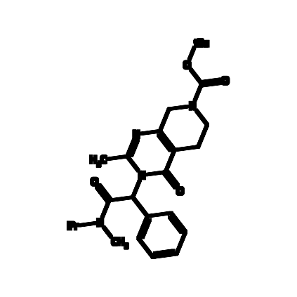 Cc1nc2c(c(=O)n1C(C(=O)N(C)C(C)C)c1ccccc1)CCN(C(=O)OC(C)(C)C)C2